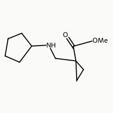 COC(=O)C1(CNC2CCCC2)CC1